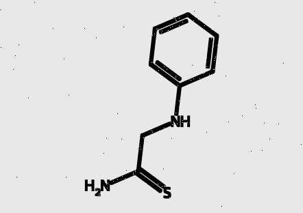 NC(=S)CNc1ccccc1